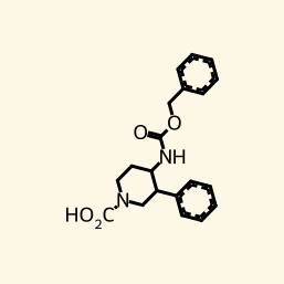 O=C(NC1CCN(C(=O)O)CC1c1ccccc1)OCc1ccccc1